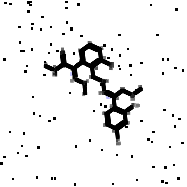 CNC(=O)/C(=N/OC)c1cccc(Cl)c1CO/N=C(\COC)c1ccc(F)cc1F